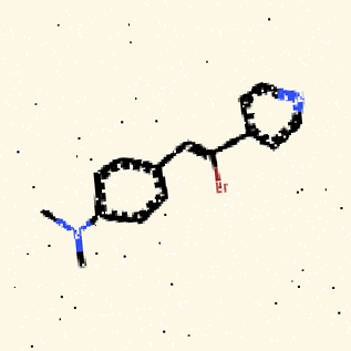 CN(C)c1ccc(C=C(Br)c2ccncc2)cc1